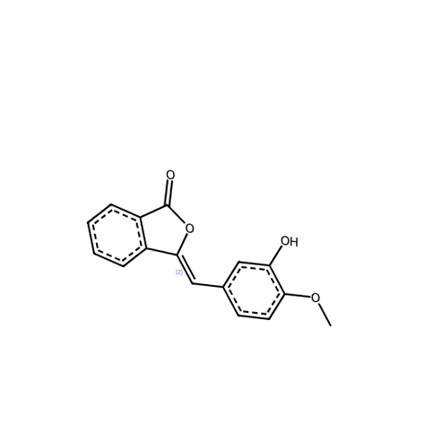 COc1ccc(/C=C2\OC(=O)c3ccccc32)cc1O